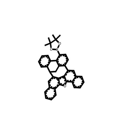 CC1(C)OB(c2ccc3c4c2-c2ccccc2C(C4)c2cc4ccccc4c4oc5c6ccccc6cc-3c5c24)OC1(C)C